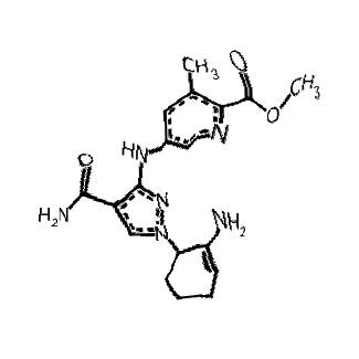 COC(=O)c1ncc(Nc2nn(C3CCCC=C3N)cc2C(N)=O)cc1C